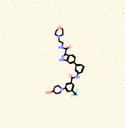 O=C(Nc1cccc(-c2ccc3c(C(=O)NCCN4CCOCC4)n[nH]c3c2)c1)c1cc(N2CCC(O)CC2)cc(C(F)(F)F)c1